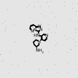 N[C@H]1CCCN(c2ccncc2Nc2nnc3cccnn23)C1